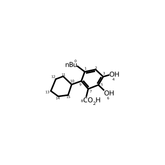 CCCCc1cc(O)c(O)c(C(=O)O)c1C1CCCCC1